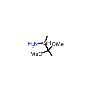 COC(C)(OC)[SiH](C)N